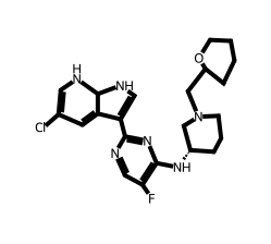 Fc1cnc(C2=CNC3NC=C(Cl)C=C23)nc1N[C@H]1CCCN(CC2CCCCO2)C1